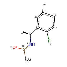 Cc1ccc(F)c([C@H](C)N[S+]([O-])C(C)(C)C)c1